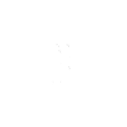 Cn1cnnc1Sc1nc(CC(=O)O)cs1